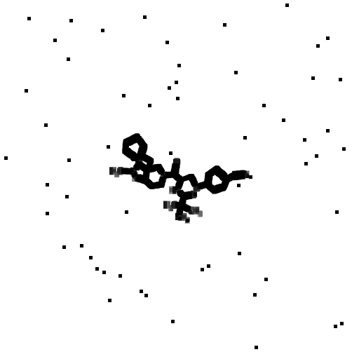 CN1N=C2CCN(C(=O)[C@@H](COc3ccc(C#N)cc3)NC(=O)C(C)(C)N)C[C@@]2(Cc2ccccc2)C1=O